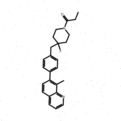 CCC(=O)N1CCC(F)(Cc2ccc(-c3ccc4cccnc4c3C)cc2)CC1